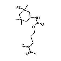 C=C(C)C(=O)CCCOC(=O)NC1CC(C)(C)CC(C)(CC)C1